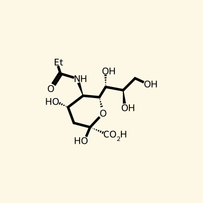 CCC(=O)N[C@H]1[C@H]([C@H](O)[C@H](O)CO)O[C@](O)(C(=O)O)C[C@@H]1O